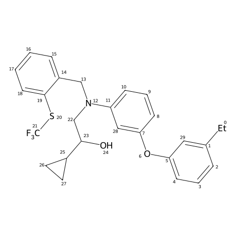 CCc1cccc(Oc2cccc(N(Cc3ccccc3SC(F)(F)F)CC(O)C3CC3)c2)c1